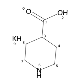 O=C(O)C1CCNCC1.[KH]